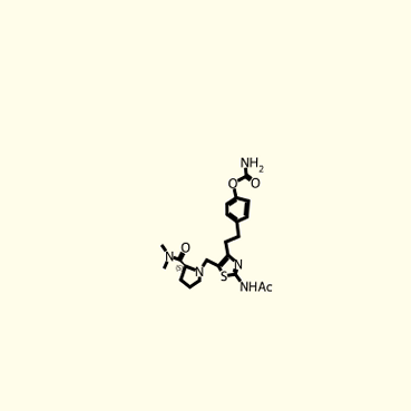 CC(=O)Nc1nc(CCc2ccc(OC(N)=O)cc2)c(CN2CCC[C@H]2C(=O)N(C)C)s1